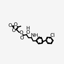 Cc1oc(=O)oc1COC(=O)[C@H](O)C[C@H](N)Cc1ccc(-c2cccc(Cl)c2)cc1